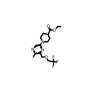 CCOC(=O)C1CCN(c2cnc(I)c(COCC(F)(F)F)n2)CC1